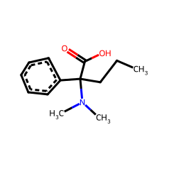 CCCC(C(=O)O)(c1ccccc1)N(C)C